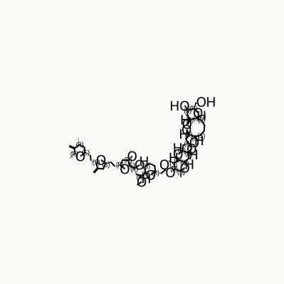 C=C1C[C@H](CC[C@@H]2C[C@@H](OC)[C@@H]([C@H]3C[C@@H](OC)[C@H]4O[C@@H](CC(=O)O[C@@H]5[C@@H](C)[C@@H]6O[C@@H]7C[C@]8(C[C@@H]9OO[C@H]%10C[C@@H](O)[C@@H](CO)O[C@H]%10[C@@H](C)CC[C@H](C)[C@@H]9O8)O[C@@H]7C[C@@H]6O[C@H]5C)CC[C@@H]4O3)O2)O[C@H]1CC[C@H]1C[C@@H](C)C(=C)[C@@H](C)O1